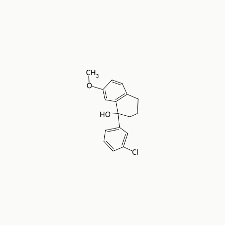 COc1ccc2c(c1)C(O)(c1cccc(Cl)c1)CCC2